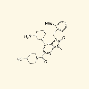 Cn1c(=O)n(Cc2ccccc2C#N)c2c(N3CCC[C@@H](N)C3)cc(C(=O)N3CCC(O)CC3)nc21